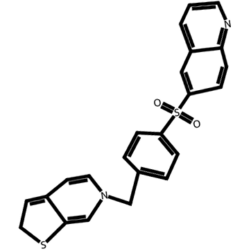 O=S(=O)(c1ccc(CN2C=CC3=CCSC3=C2)cc1)c1ccc2ncccc2c1